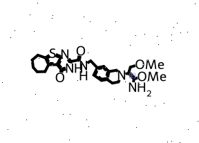 COC/C(=C(/N)OC)N1CCc2ccc(CNC(=O)c3nc4sc5c(c4c(=O)[nH]3)CCCCC5)cc2C1